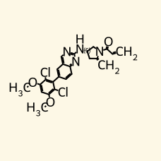 C=CC(=O)N1C[C@@H](Nc2ncc3cc(-c4c(Cl)c(OC)cc(OC)c4Cl)ccc3n2)CC1=C